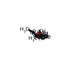 CCCCOC(=O)OCC(=O)[C@@]1(OC(=O)OC)[C@H](C)C[C@H]2[C@@H]3CCC4=CC(=O)C=C[C@]4(C)[C@@]3(F)[C@@H](O)C[C@@]21C